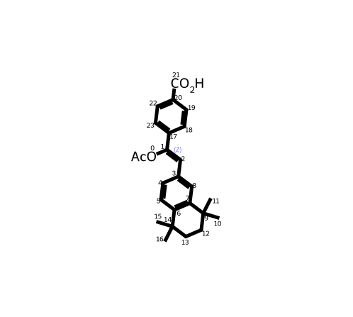 CC(=O)O/C(=C\c1ccc2c(c1)C(C)(C)CCC2(C)C)c1ccc(C(=O)O)cc1